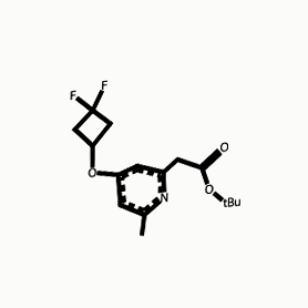 Cc1cc(OC2CC(F)(F)C2)cc(CC(=O)OC(C)(C)C)n1